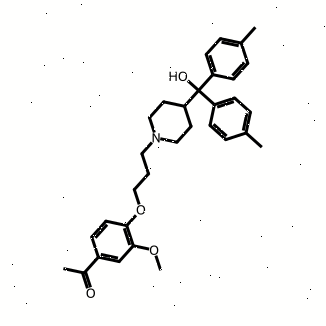 COc1cc(C(C)=O)ccc1OCCCN1CCC(C(O)(c2ccc(C)cc2)c2ccc(C)cc2)CC1